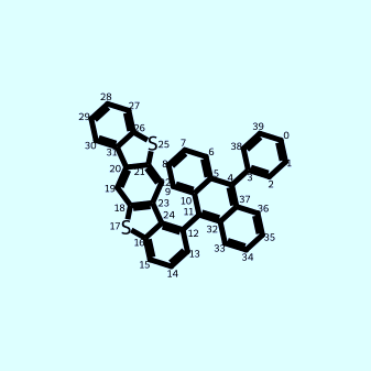 c1ccc(-c2c3ccccc3c(-c3cccc4sc5cc6c(cc5c34)sc3ccccc36)c3ccccc23)cc1